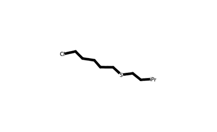 CC(C)CCSCCCCCCl